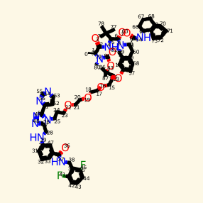 C[C@@H](C(=O)NC(C(=O)N1Cc2cc(OCCOCCOCCOCCCn3c(CNc4cccc(C(=O)NCc5c(F)cccc5F)c4)nnc3-c3ccncn3)ccc2C[C@H]1C(=O)N[C@@H]1CCCc2ccccc21)C(C)(C)C)N(C)C(=O)OC(C)(C)C